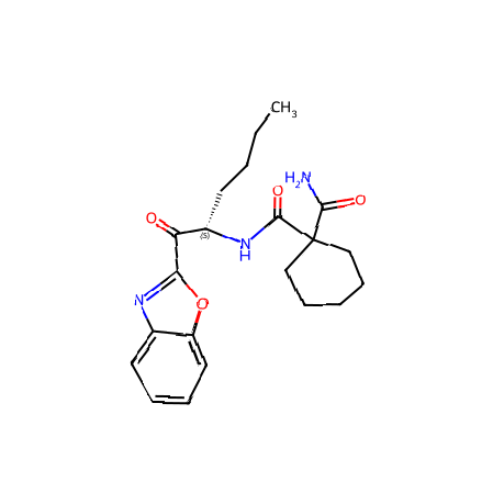 CCCC[C@H](NC(=O)C1(C(N)=O)CCCCC1)C(=O)c1nc2ccccc2o1